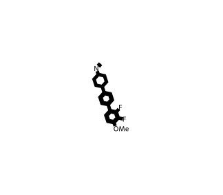 C=NC1CCC(c2ccc(-c3ccc(OC)c(F)c3F)cc2)CC1